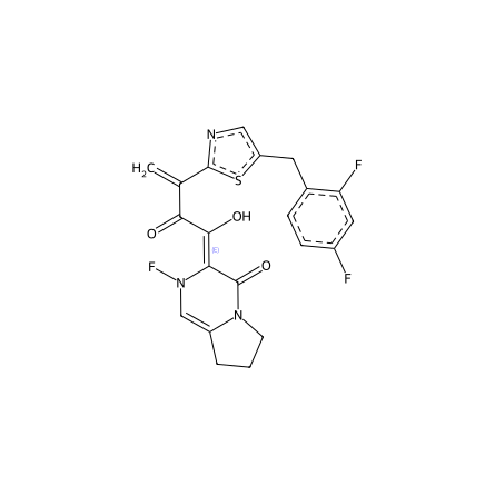 C=C(C(=O)/C(O)=C1/C(=O)N2CCCC2=CN1F)c1ncc(Cc2ccc(F)cc2F)s1